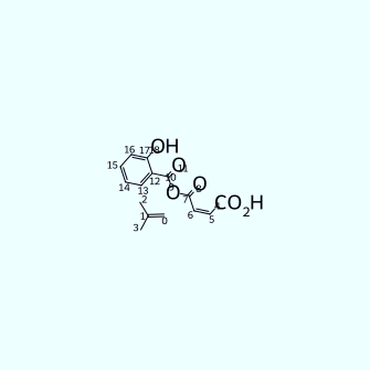 C=C(C)C.O=C(O)/C=C\C(=O)OC(=O)c1ccccc1O